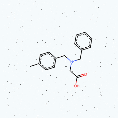 Cc1ccc(CN(CC(=O)O)Cc2ccccc2)cc1